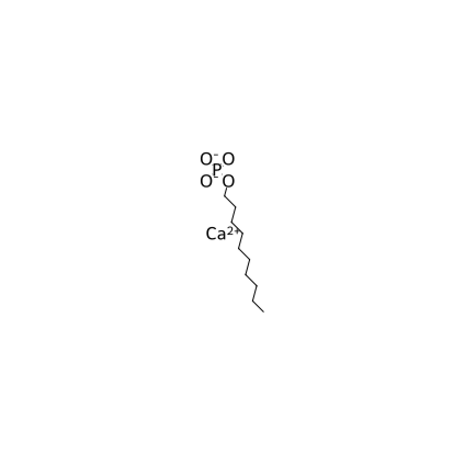 CCCCCCCCCCOP(=O)([O-])[O-].[Ca+2]